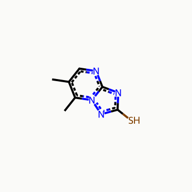 Cc1cnc2nc(S)nn2c1C